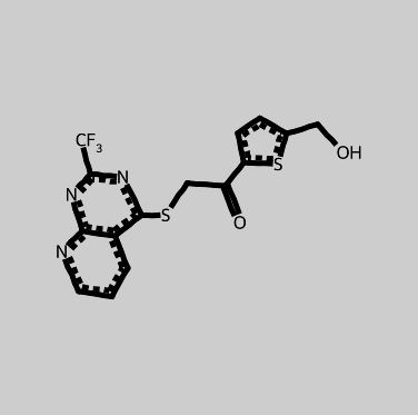 O=C(CSc1nc(C(F)(F)F)nc2ncccc12)c1ccc(CO)s1